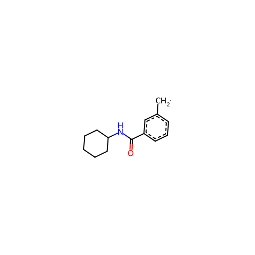 [CH2]c1cccc(C(=O)NC2CCCCC2)c1